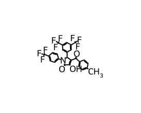 Cc1ccc(C(=O)C2=C(O)C(=O)N(c3ccc(C(F)(F)F)cc3)C2c2cc(C(F)(F)F)cc(C(F)(F)F)c2)cc1